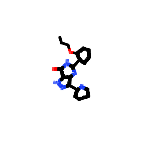 CCCOc1ccccc1-c1nc2c(-c3ccccn3)n[nH]c2c(=O)[nH]1